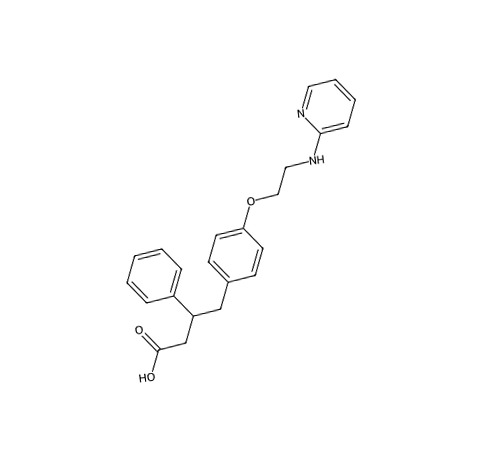 O=C(O)CC(Cc1ccc(OCCNc2ccccn2)cc1)c1ccccc1